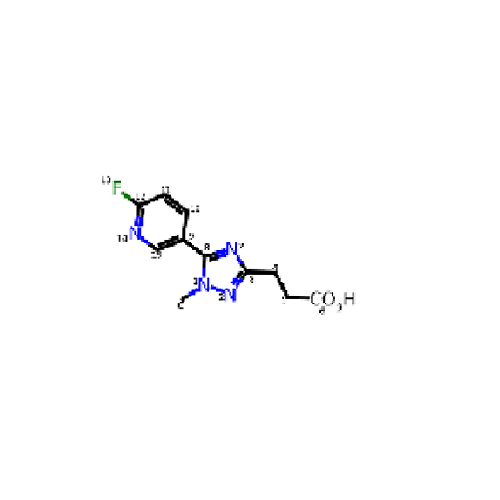 Cn1nc(CCC(=O)O)nc1-c1ccc(F)nc1